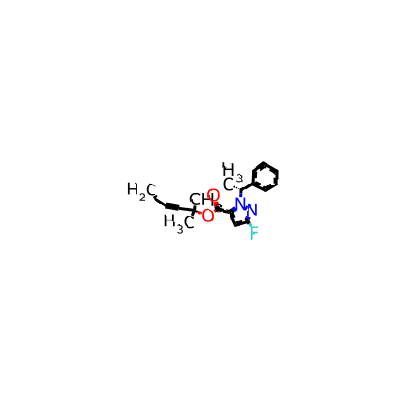 C=CC#CC(C)(C)OC(=O)c1cc(F)nn1[C@H](C)c1ccccc1